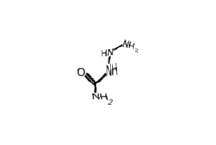 NNNC(N)=O